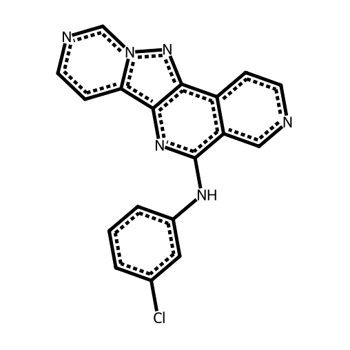 Clc1cccc(Nc2nc3c(nn4cnccc34)c3ccncc23)c1